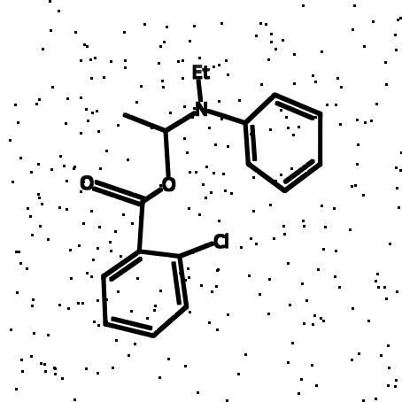 CCN(c1ccccc1)C(C)OC(=O)c1ccccc1Cl